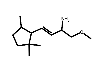 COCC(N)C=CC1C(C)CCC1(C)C